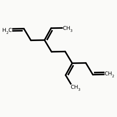 C=CCC(=CC)CCC(=CC)CC=C